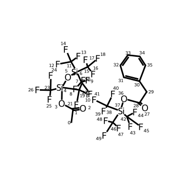 CC(=O)O[Si](O[Si](C(F)(F)F)(C(F)(F)F)C(F)(F)F)(C(F)(F)F)C(F)(F)F.O=C(Cc1ccccc1)O[Si](C(F)(F)F)(C(F)(F)F)C(F)(F)F